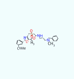 COc1cccc(-c2nc(CS(=O)(=O)CC(=O)NCCCN(C)Cc3ccccc3)c(C)o2)c1